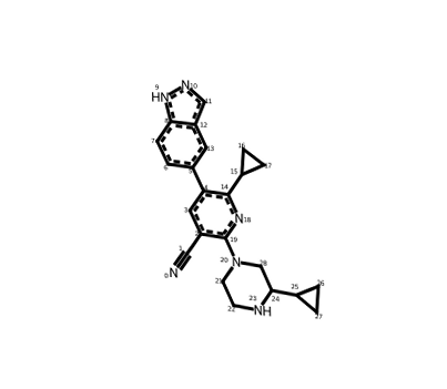 N#Cc1cc(-c2ccc3[nH]ncc3c2)c(C2CC2)nc1N1CCNC(C2CC2)C1